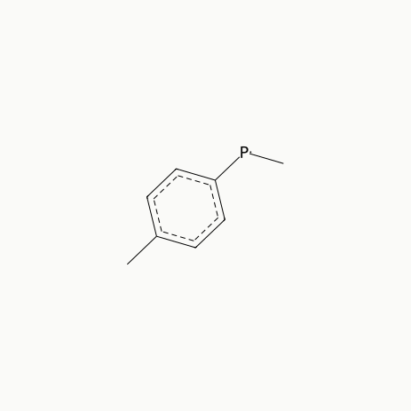 C[P]c1ccc(C)cc1